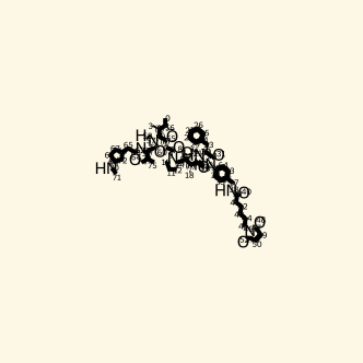 CC[C@H](C)[C@@H]([C@@H](CC(=O)N1CCC[C@H]1[C@H](OC)[C@@H](C)C(=O)N[C@@H](Cc1ccccc1)C(=O)Nc1ccc(CNC(=O)CCCCCN2C(=O)C=CC2=O)cc1)OC)N(C)C(=O)[C@@H](NC(=O)CC1CC[C@H](NC)C1)C(C)C